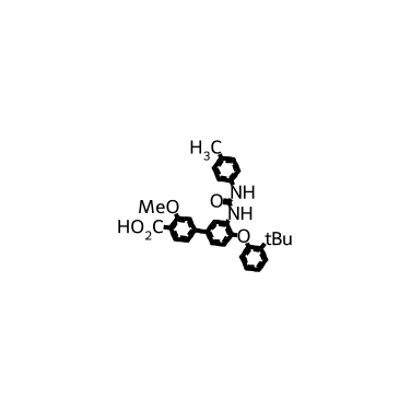 COc1cc(-c2ccc(Oc3ccccc3C(C)(C)C)c(NC(=O)Nc3ccc(C)cc3)c2)ccc1C(=O)O